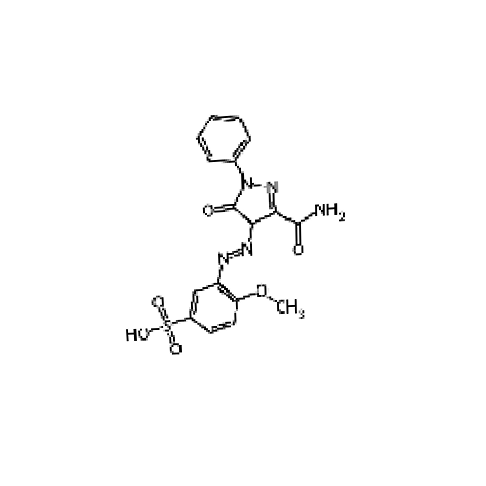 COc1ccc(S(=O)(=O)O)cc1N=NC1C(=O)N(c2ccccc2)N=C1C(N)=O